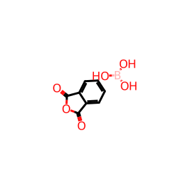 O=C1OC(=O)c2ccccc21.OB(O)O